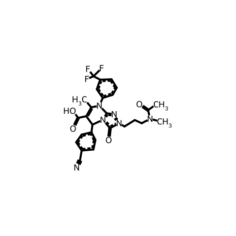 CC(=O)N(C)CCCn1nc2n(c1=O)C(c1ccc(C#N)cc1)C(C(=O)O)=C(C)N2c1cccc(C(F)(F)F)c1